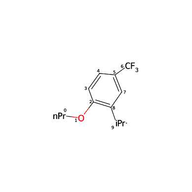 CCCOc1ccc(C(F)(F)F)cc1[C](C)C